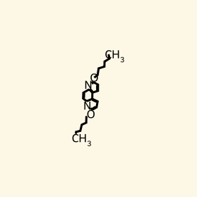 CCCCCCOc1ccc2c(ccc3nc(OCCCCCC)ccc32)n1